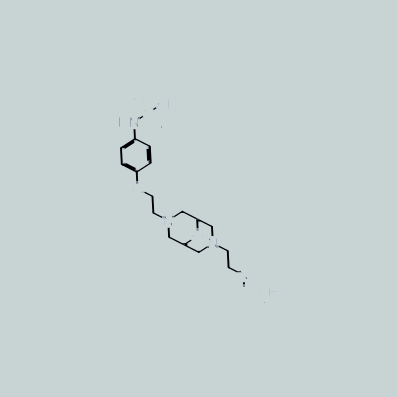 CS(=O)(=O)Nc1ccc(OCCN2CC3CN(CCNC(=O)O)CC(C2)O3)cc1